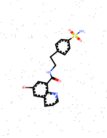 NS(=O)(=O)c1ccc(CCNC(=O)c2cc(Br)cc3cccnc23)cc1